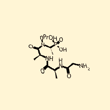 CCCN(C(=O)[C@H](C)NC(=O)[C@H](C)NC(=O)CN)[C@@H](C)P(=O)(O)O